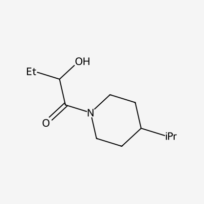 CCC(O)C(=O)N1CCC(C(C)C)CC1